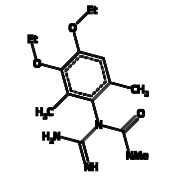 CCOc1cc(C)c(N(C(=N)N)C(=O)NC)c(C)c1OCC